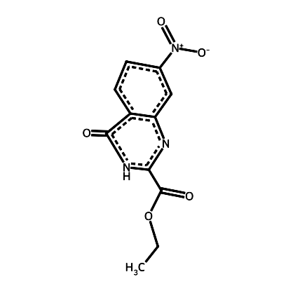 CCOC(=O)c1nc2cc([N+](=O)[O-])ccc2c(=O)[nH]1